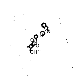 CC1C(CO)C2CC1C1C(=O)N(C[C@H]3CCC[C@@H]3CN3CCC(N4C(=O)Cc5ccccc54)CC3)C(=O)C21